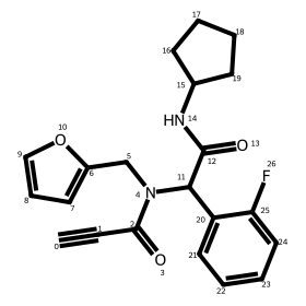 C#CC(=O)N(Cc1ccco1)C(C(=O)NC1CCCC1)c1ccccc1F